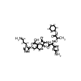 CC(ON=C(C(=O)NC1C(=O)N2C(C(=O)O)=C(CSc3nnnn3CCCN)CS[C@@H]12)c1nsc(N)n1)C(=O)OC1CCCCC1